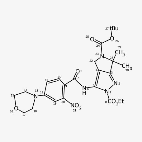 CCOC(=O)n1nc2c(c1NC(=O)c1ccc(N3CCOCC3)cc1[N+](=O)[O-])CN(C(=O)OC(C)(C)C)C2(C)C